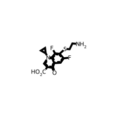 NCCSc1c(F)cc2c(=O)c(C(=O)O)cn(C3CC3)c2c1F